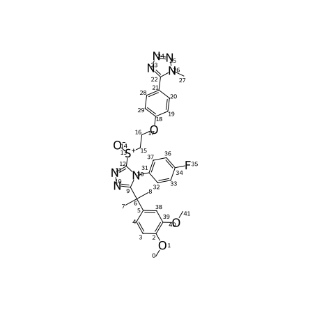 COc1ccc(C(C)(C)c2nnc([S+]([O-])CCOc3ccc(-c4nnnn4C)cc3)n2-c2ccc(F)cc2)cc1OC